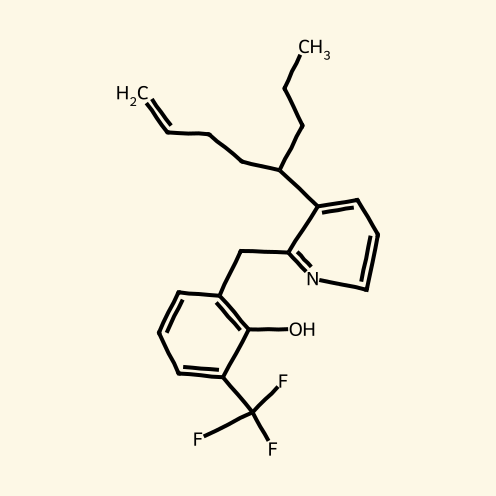 C=CCCC(CCC)c1cccnc1Cc1cccc(C(F)(F)F)c1O